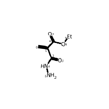 C=C(C(=O)NN)C(=O)OCC